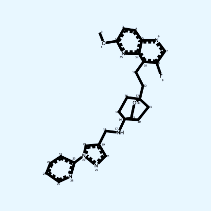 COc1ccc2ncc(F)c(CCC34CCC(NCc5cnn(-c6ccccn6)c5)(CC3)CO4)c2n1